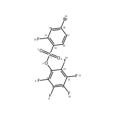 O=S(=O)(Oc1c(F)c(F)c(F)c(F)c1F)c1ccc(Br)cc1F